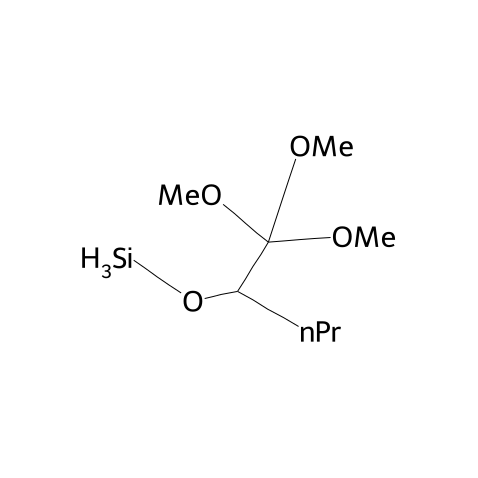 CCCC(O[SiH3])C(OC)(OC)OC